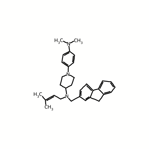 CC(C)=CCN(Cc1ccc2c(c1)Cc1ccccc1-2)C1CCN(c2ccc(N(C)C)cc2)CC1